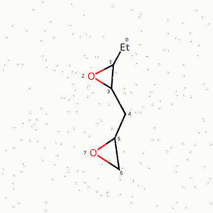 [CH2]CC1OC1CC1CO1